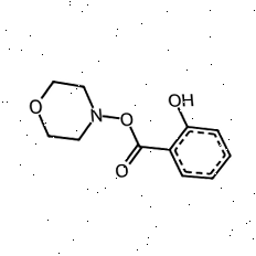 O=C(ON1CCOCC1)c1ccccc1O